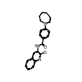 O=C(Nc1cc2ccccc2nc1Cl)c1ccc(N2CCCCCC2)cc1